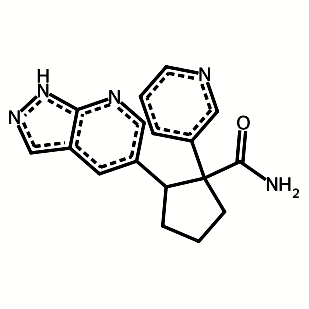 NC(=O)C1(c2cccnc2)CCCC1c1cnc2[nH]ncc2c1